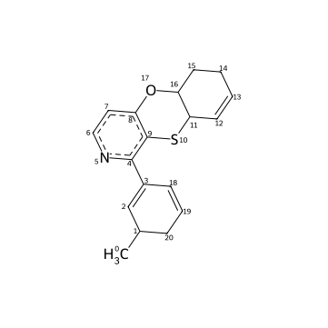 CC1C=C(c2nccc3c2SC2C=CCCC2O3)C=CC1